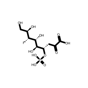 O=C(O)C(=O)C[C@H](OP(=O)(O)O)[C@@H](O)[C@@H](O)[C@H](F)[C@H](O)CO